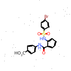 O=C(O)c1ccc(NC(=O)c2ccccc2NS(=O)(=O)c2ccc(Br)cc2)cc1